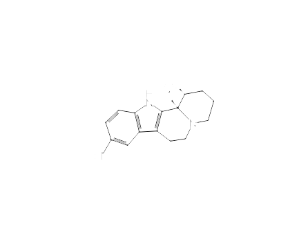 O=C(O)[C@H]1CCCN2CCc3c([nH]c4ccc(Cl)cc34)[C@H]12